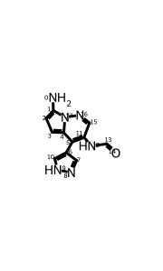 Nc1ccc2c(-c3cn[nH]c3)c(NC=O)cnn12